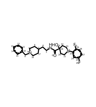 O=C(NCCC1CCN(Cc2ccccc2)CC1)C1(O)CCN(c2cc(F)ccc2F)CC1